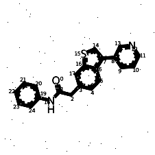 O=C(Cc1ccc2c(-c3cccnc3)csc2c1)Nc1ccccc1